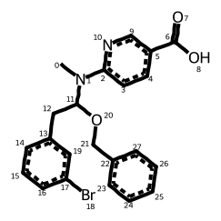 CN(c1ccc(C(=O)O)cn1)C(Cc1cccc(Br)c1)OCc1ccccc1